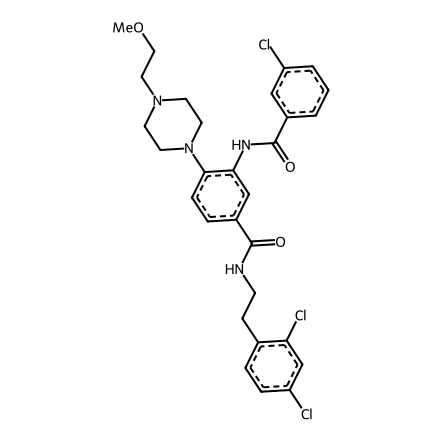 COCCN1CCN(c2ccc(C(=O)NCCc3ccc(Cl)cc3Cl)cc2NC(=O)c2cccc(Cl)c2)CC1